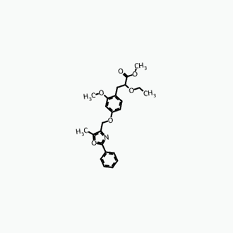 CCOC(Cc1ccc(OCc2nc(-c3ccccc3)oc2C)cc1OC)C(=O)OC